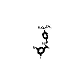 CN(C)c1ccc(CNC(=O)c2cc(Br)cc(I)c2)cc1